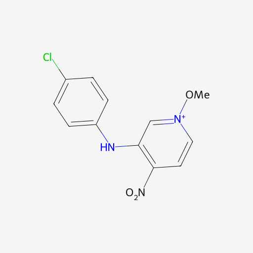 CO[n+]1ccc([N+](=O)[O-])c(Nc2ccc(Cl)cc2)c1